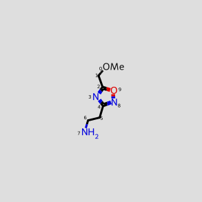 COCc1nc(CCN)no1